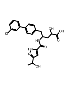 CC(O)c1cc(C(=O)NC(Cc2ccc(-c3cccc(Cl)c3)cc2)CC(O)C(=O)O)[nH]n1